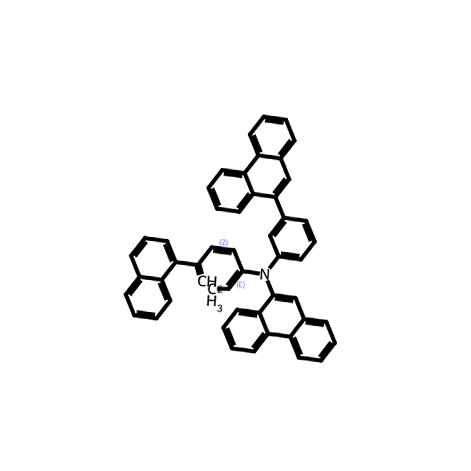 C=C(/C=C\C(=C/C)N(c1cccc(-c2cc3ccccc3c3ccccc23)c1)c1cc2ccccc2c2ccccc12)c1cccc2ccccc12